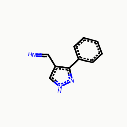 N=Cc1c[nH]nc1-c1ccccc1